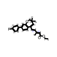 CCOC(=O)/C=C(C)/C=C/C1=CC(C)(C)COc2cc(-c3ccc(F)cc3)ccc21